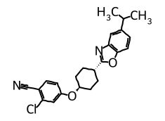 CC(C)c1ccc2oc([C@H]3CC[C@H](Oc4ccc(C#N)c(Cl)c4)CC3)nc2c1